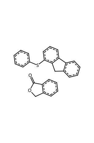 O=C1OCc2ccccc21.c1ccc(Sc2cccc3c2Cc2ccccc2-3)cc1